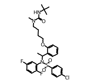 CC(c1ccccc1OCCCCN(C)C(=O)NC(C)(C)C)N(c1cc(F)ccc1F)S(=O)(=O)c1ccc(Cl)cc1